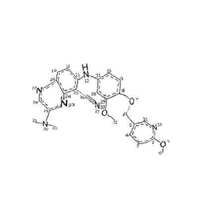 COc1ccc(COc2ccc(Nc3ccc4ncc(N(C)C)nc4c3C#N)cc2OC)cn1